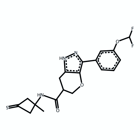 CC1(NC(=O)C2COc3c(-c4cccc(OC(F)F)c4)n[nH]c3C2)CC(=S)C1